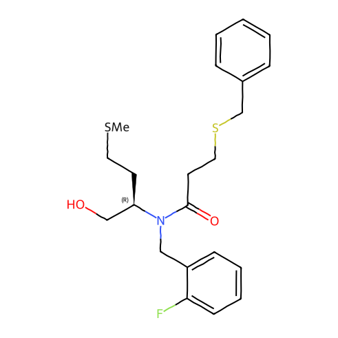 CSCC[C@H](CO)N(Cc1ccccc1F)C(=O)CCSCc1ccccc1